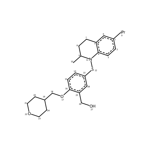 CC(C)c1ccc2c(c1)CCC(C)N2Sc1ccc(OCC2CCOCC2)c(CO)c1